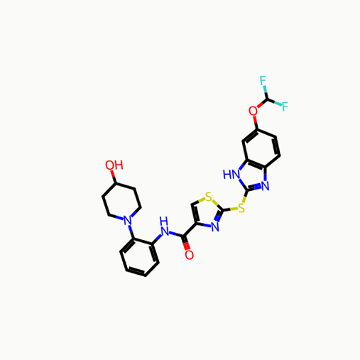 O=C(Nc1ccccc1N1CCC(O)CC1)c1csc(Sc2nc3ccc(OC(F)F)cc3[nH]2)n1